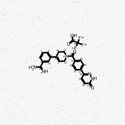 N=C(N)c1cccc(C2=CCN(C(=O)c3ccc(-c4ccc(=O)[nH]n4)cc3)CC2)c1.O=C(O)C(F)(F)F